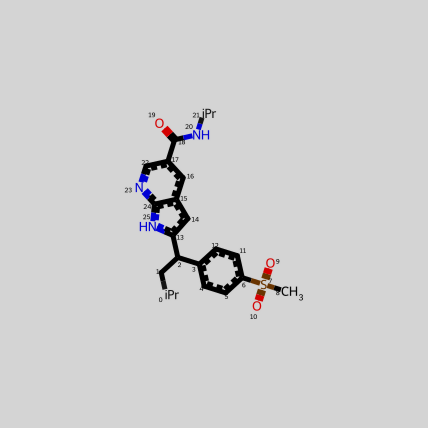 CC(C)CC(c1ccc(S(C)(=O)=O)cc1)c1cc2cc(C(=O)NC(C)C)cnc2[nH]1